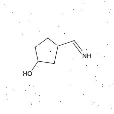 N=CC1CCC(O)C1